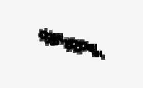 COC(=O)C(Cc1ccccc1)NC(=O)CCCC1CCC2C3CCC4CC(NCCN)CCC4(C)C3CCC12C